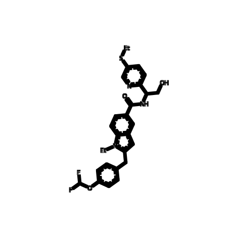 CCSc1ccc(C(CO)NC(=O)c2ccc3c(c2)cc(Cc2ccc(OC(F)F)cc2)n3CC)nc1